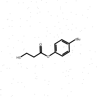 CC(C)(C)c1ccc(OC(=O)CCS)cc1